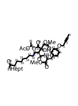 CC#CCOc1ccc(C[C@H](NC(=O)[C@@H](/C=C/CCCCCCC(=O)CCCCCCC)[C@@](O)(CC(=O)OC)C(=O)OC(C)OC(C)=O)C(=O)OC)cc1